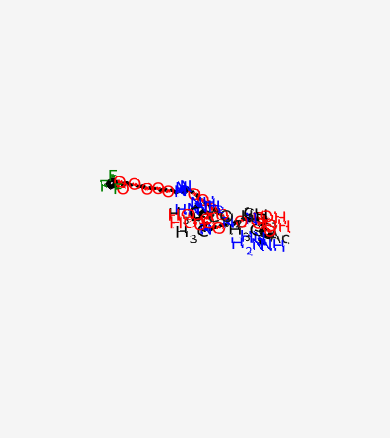 CC(=O)C1=C[C@H](NC(=N)N)[C@@H](C)[C@H](C(OC(=O)N(C)CCOCCN(CCOCCOCCOCCOCc2cn(CCOCCOCCOCCOCCC(=O)Oc3c(F)cc(F)cc3F)nn2)CCOCCN(C)C(=O)O[C@@H]([C@@H]2OC(C(=O)O)=C[C@H](NC(=N)N)[C@H]2C)[C@H](O)CO)[C@H](O)CO)O1